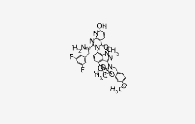 COc1ccc(CN(c2nn(C)c3c(-n4c([C@@H](N)Cc5cc(F)cc(F)c5)nc5nc(O)ccc5c4=O)ccc(Cl)c23)S(C)(=O)=O)cc1